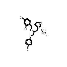 Clc1ccc(SCC(Cn2ccnc2)OCc2ccc(Cl)cc2Cl)cc1.O=[N+]([O-])O